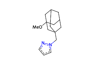 COC12CC3CC(CC(Cn4cccn4)(C3)C1)C2